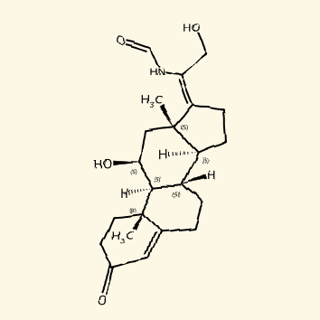 C[C@]12CCC(=O)C=C1CC[C@@H]1[C@@H]2[C@@H](O)C[C@]2(C)C(=C(CO)NC=O)CC[C@@H]12